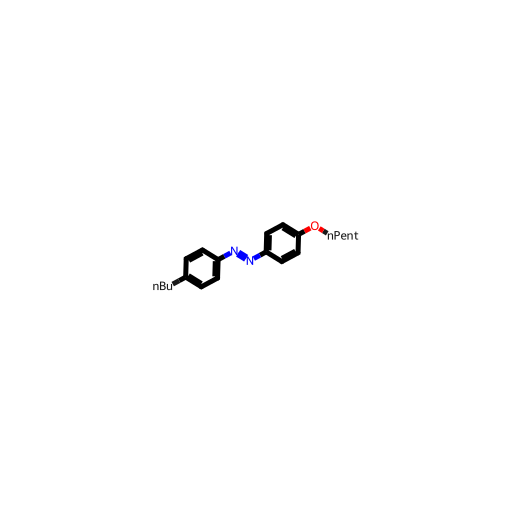 CCCCCOc1ccc(/N=N/c2ccc(CCCC)cc2)cc1